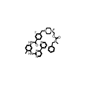 Cc1ccc(NC(=O)c2ccc(CN3CC[N+](C)(COC(=O)N(C)Cc4ccccc4)CC3)cc2)cc1Nc1nccc(-c2cccnc2)n1.[I-]